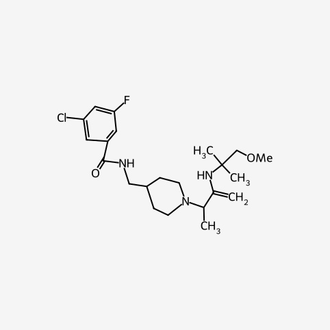 C=C(NC(C)(C)COC)C(C)N1CCC(CNC(=O)c2cc(F)cc(Cl)c2)CC1